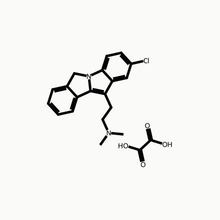 CN(C)CCc1c2n(c3ccc(Cl)cc13)Cc1ccccc1-2.O=C(O)C(=O)O